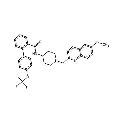 COc1ccc2nc(CN3CCC(NC(=O)c4ccccc4-c4ccc(OC(F)(F)F)cc4)CC3)ccc2c1